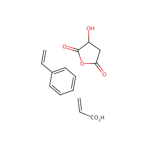 C=CC(=O)O.C=Cc1ccccc1.O=C1CC(O)C(=O)O1